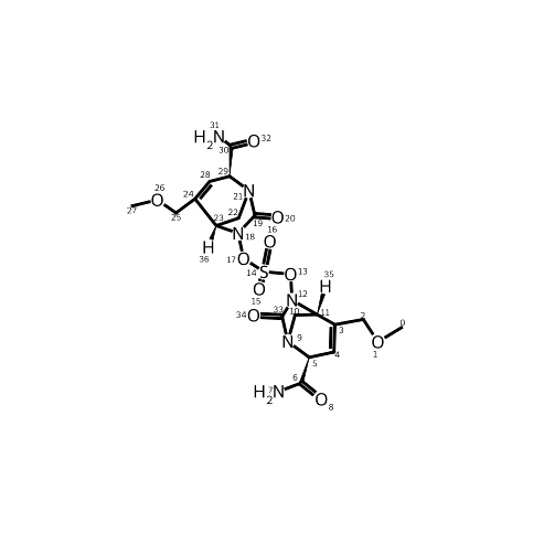 COCC1=C[C@@H](C(N)=O)N2C[C@@H]1N(OS(=O)(=O)ON1C(=O)N3C[C@H]1C(COC)=C[C@H]3C(N)=O)C2=O